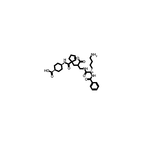 NCCCC[C@H](NC(=O)c1ccccc1)C(=O)NCC(CC1(C(=O)N[C@H]2CC[C@@H](C(=O)O)CC2)CCCC1)C(=O)O